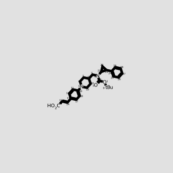 CC(C)(C)OC(=O)N(CC1CCN(c2ccc(/C=C/C(=O)O)cc2)CC1)C1CC1c1ccccc1